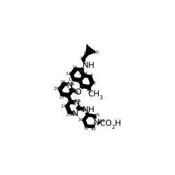 Cc1ccc2c(NCC3CC3)cccc2c1Oc1ncccc1-c1ccnc(NC2CCCN(C(=O)O)C2)n1